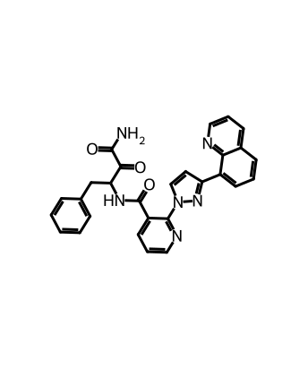 NC(=O)C(=O)C(Cc1ccccc1)NC(=O)c1cccnc1-n1ccc(-c2cccc3cccnc23)n1